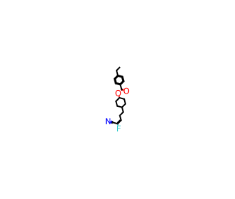 CCc1ccc(C(=O)OC2CCC(CC/C=C(/F)C#N)CC2)cc1